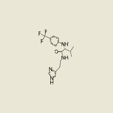 CC(C)[C@@H](Nc1ccc(C(F)(F)F)cc1)C(=O)NCCc1c[nH]cn1